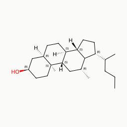 CCCC(C)[C@H]1CC[C@@H]2C1[C@H](C)C[C@H]1[C@H]2CC[C@@H]2C[C@H](O)CC[C@@]21C